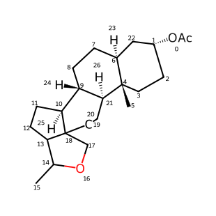 CC(=O)O[C@@H]1CC[C@@]2(C)[C@@H](CC[C@H]3[C@@H]4CCC5C(C)OCC54CC[C@@H]32)C1